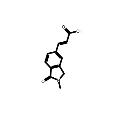 CN1Cc2cc(C=CC(=O)O)ccc2C1=O